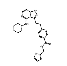 O=C(NCc1ccco1)c1ccc(CCc2n[nH]c3ccnc(NC4CCCCC4)c23)cc1